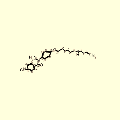 C=CCCNCCCCCCOc1ccc(N(C)C(=O)c2ccc(C(C)=O)cc2)cc1